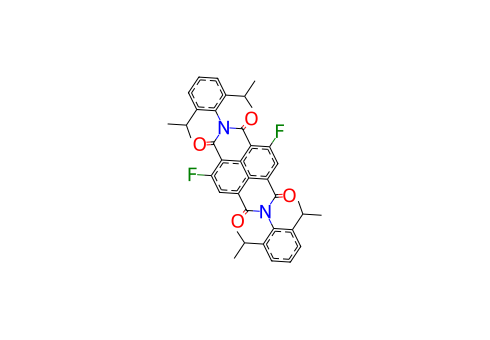 CC(C)c1cccc(C(C)C)c1N1C(=O)c2cc(F)c3c4c(c(F)cc(c24)C1=O)C(=O)N(c1c(C(C)C)cccc1C(C)C)C3=O